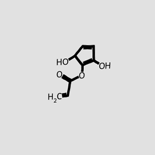 C=CC(=O)OC1=C(O)C=CC1O